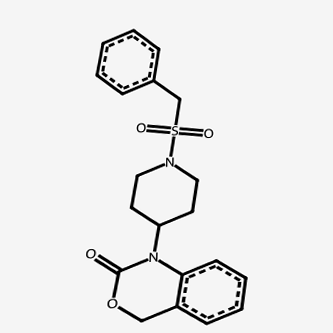 O=C1OCc2ccccc2N1C1CCN(S(=O)(=O)Cc2ccccc2)CC1